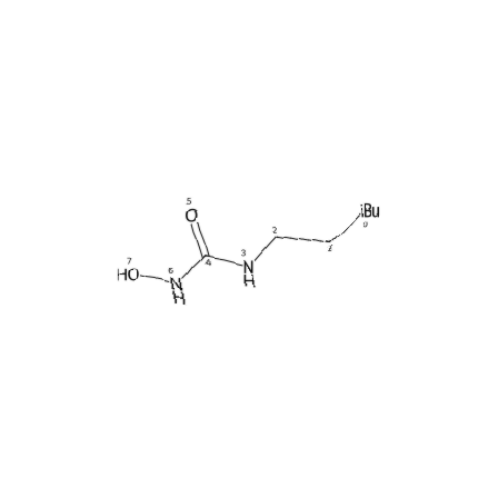 CCC(C)CCNC(=O)NO